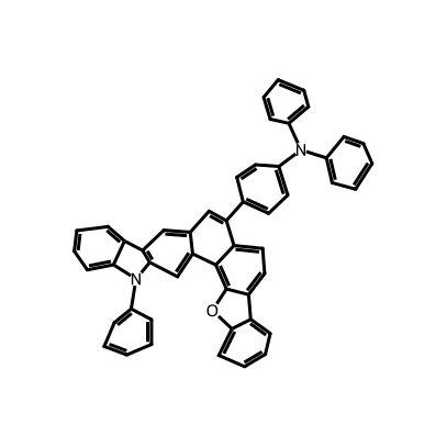 c1ccc(N(c2ccccc2)c2ccc(-c3cc4cc5c6ccccc6n(-c6ccccc6)c5cc4c4c3ccc3c5ccccc5oc34)cc2)cc1